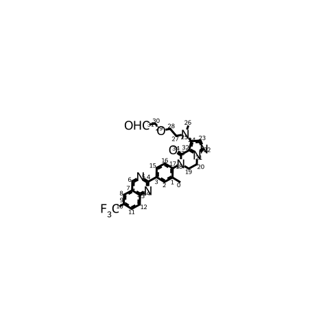 Cc1cc(-c2ncc3cc(C(F)(F)F)ccc3n2)ccc1N1CCn2ncc(N(C)CCOCC=O)c2C1=O